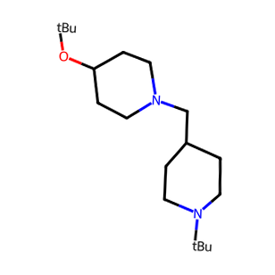 CC(C)(C)OC1CCN(CC2CCN(C(C)(C)C)CC2)CC1